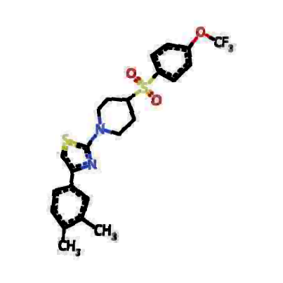 Cc1ccc(-c2csc(N3CCC(S(=O)(=O)c4ccc(OC(F)(F)F)cc4)CC3)n2)cc1C